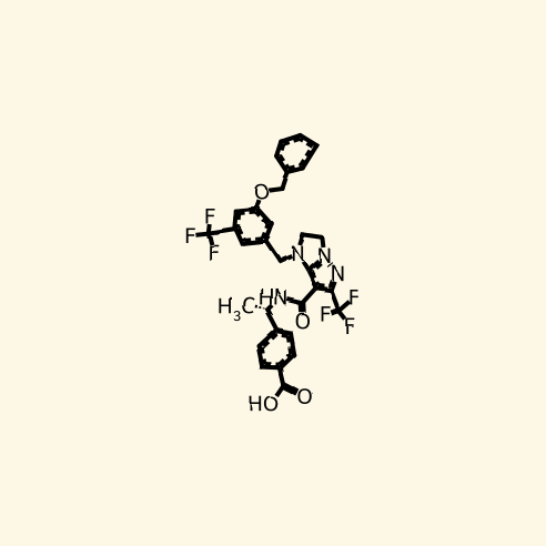 C[C@H](NC(=O)c1c(C(F)(F)F)nn2c1N(Cc1cc(OCc3ccccc3)cc(C(F)(F)F)c1)CC2)c1ccc(C(=O)O)cc1